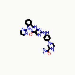 CN(C)C(=O)C1CN(c2ccc(Nc3ncc4c(=O)n5c(nc4n3)c3ccccc3n5-c3ncccn3)cc2)CCN1C